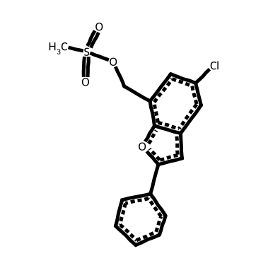 CS(=O)(=O)OCc1cc(Cl)cc2cc(-c3ccccc3)oc12